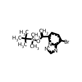 C=C(O[Si](C)(C)C(C)(C)C)c1ccc(Br)c2ncnn12